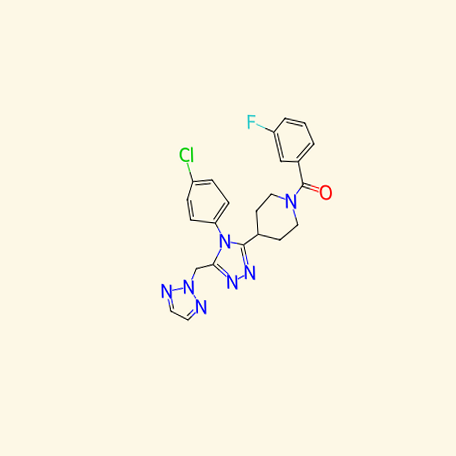 O=C(c1cccc(F)c1)N1CCC(c2nnc(Cn3nccn3)n2-c2ccc(Cl)cc2)CC1